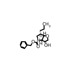 CCC[C@H]1CN(C(=O)OCc2ccccc2)[C@H]2[C@@H]1OC[C@@H]2O